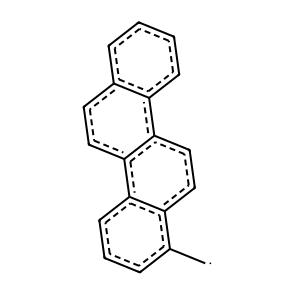 [CH2]c1cccc2c1ccc1c3ccccc3ccc21